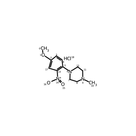 COc1ccc(N2CCN(C)CC2)c([N+](=O)[O-])c1.Cl